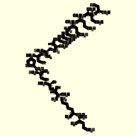 CC(C)C[C@H](N)C(=O)O.CC(C)C[C@H](N)C(=O)O.CC(C)[C@H](N)C(=O)O.CC(C)[C@H](N)C(=O)O.C[C@@H](O)[C@H](N)C(=O)O.C[C@@H](O)[C@H](N)C(=O)O.NCC(=O)O.NCC(=O)O.NCC(=O)O.NCCCC[C@H](N)C(=O)O.N[C@@H](CCC(=O)O)C(=O)O.N[C@@H](CCC(=O)O)C(=O)O.N[C@@H](CCC(=O)O)C(=O)O.N[C@@H](CCC(=O)O)C(=O)O.N[C@@H](CO)C(=O)O.O=C(O)[C@@H]1CCCN1